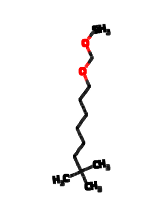 CC(C)(C)CCCCCCOCO[SiH3]